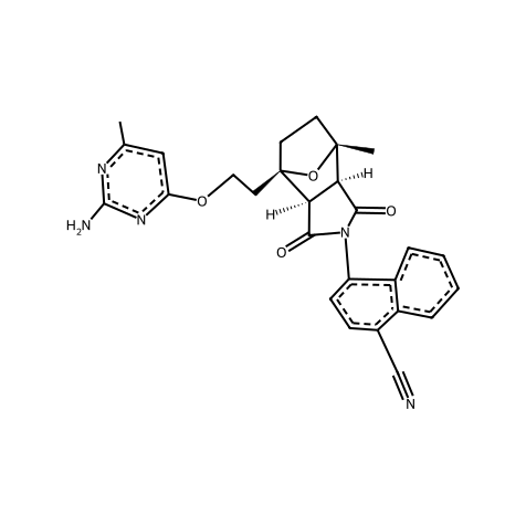 Cc1cc(OCC[C@@]23CC[C@@](C)(O2)[C@H]2C(=O)N(c4ccc(C#N)c5ccccc45)C(=O)[C@H]23)nc(N)n1